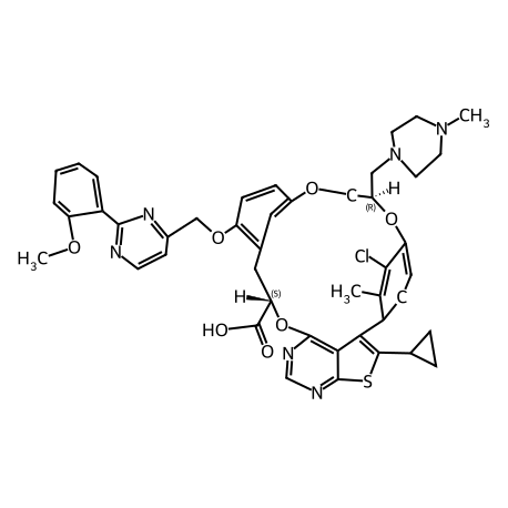 COc1ccccc1-c1nccc(COc2ccc3cc2C[C@@H](C(=O)O)Oc2ncnc4sc(C5CC5)c(c24)C2CC=C(O[C@H](CN4CCN(C)CC4)CO3)C(Cl)=C2C)n1